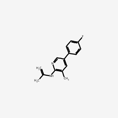 C=C(C)Nc1ncc(-c2ccc(F)cc2)cc1C